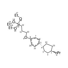 CCC[C@H]1CC[C@H](c2ccc(OCCC[Si](OCC)(OCC)OCC)cc2)CC1